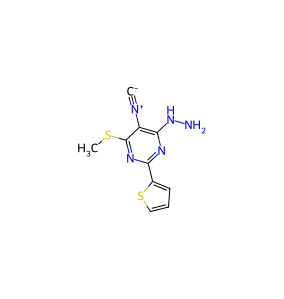 [C-]#[N+]c1c(NN)nc(-c2cccs2)nc1SC